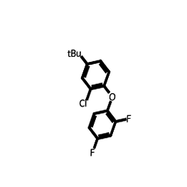 CC(C)(C)c1ccc(Oc2ccc(F)cc2F)c(Cl)c1